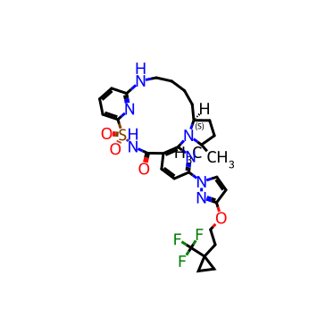 CC1(C)CC[C@@H]2CCCCNc3cccc(n3)S(=O)(=O)NC(=O)c3ccc(-n4ccc(OCCC5(C(F)(F)F)CC5)n4)nc3N21